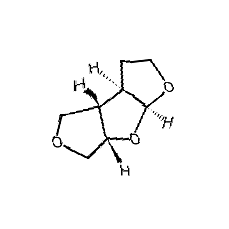 C1C[C@H]2[C@@H](O1)O[C@@H]1COC[C@H]21